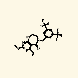 CSc1nc(CI)c2c(n1)NCCN(Cc1cc(C(F)(F)F)cc(C(F)(F)F)c1)C2=O